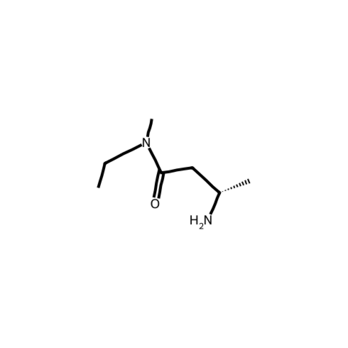 CCN(C)C(=O)C[C@H](C)N